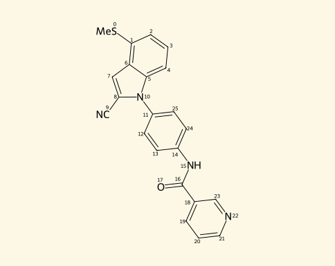 CSc1cccc2c1cc(C#N)n2-c1ccc(NC(=O)c2cccnc2)cc1